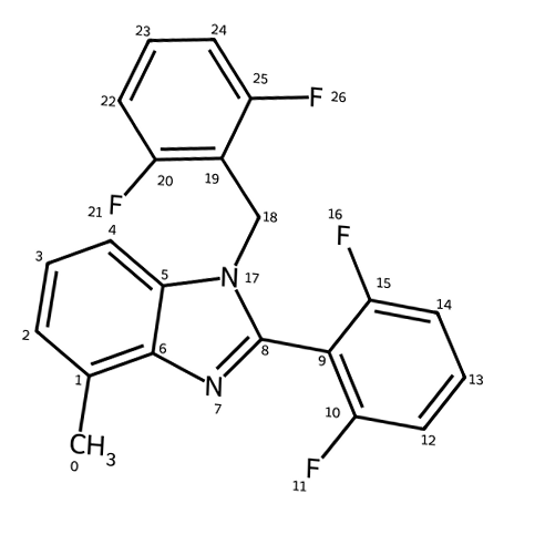 Cc1cccc2c1nc(-c1c(F)cccc1F)n2Cc1c(F)cccc1F